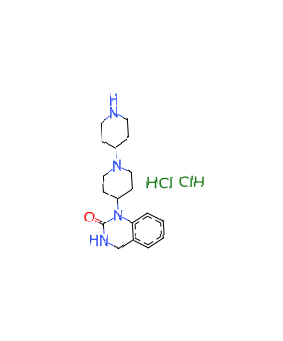 Cl.Cl.O=C1NCc2ccccc2N1C1CCN(C2CCNCC2)CC1